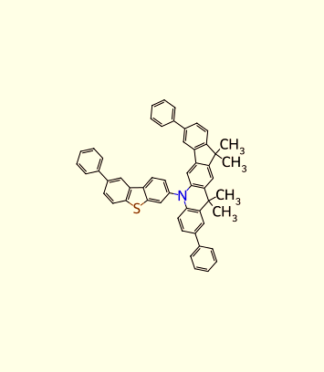 CC1(C)c2ccc(-c3ccccc3)cc2-c2cc3c(cc21)C(C)(C)c1cc(-c2ccccc2)ccc1N3c1ccc2c(c1)sc1ccc(-c3ccccc3)cc12